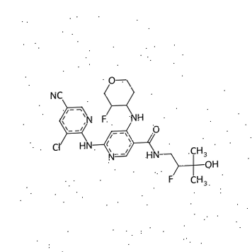 CC(C)(O)C(F)CNC(=O)c1cnc(Nc2ncc(C#N)cc2Cl)cc1NC1CCOCC1F